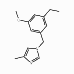 CCc1cc(Cn2cnc(C)c2)cc(OC)c1